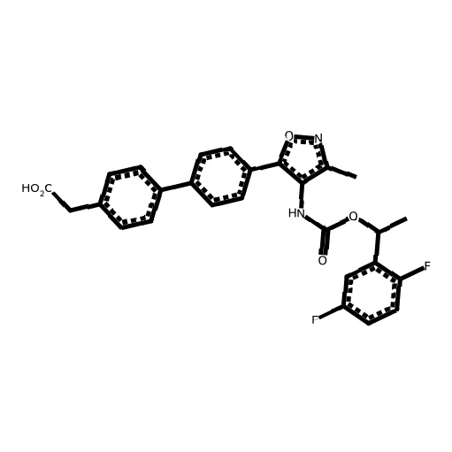 Cc1noc(-c2ccc(-c3ccc(CC(=O)O)cc3)cc2)c1NC(=O)OC(C)c1cc(F)ccc1F